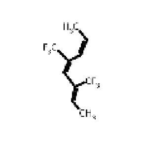 C\C=C/C(=C\C(=C\C)C(F)(F)F)C(F)(F)F